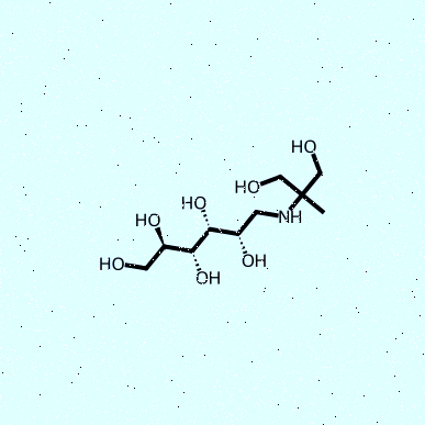 CC(CO)(CO)NC[C@H](O)[C@@H](O)[C@H](O)[C@H](O)CO